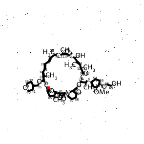 CO[C@@H]1C[C@H](C[C@@H](C)[C@@H]2CC(=O)[C@H](C)/C=C(\C)[C@@H](O)CC(=O)[C@H](C)C[C@H](C)/C=C/C=C/C=C(\C)C(OCC3CCOCC3)C[C@@H]3CC[C@@H](C)[C@@](O)(O3)C(=O)C(=O)N3CCCCC3C(=O)O2)CC[C@H]1OCCO